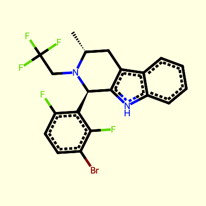 C[C@@H]1Cc2c([nH]c3ccccc23)[C@@H](c2c(F)ccc(Br)c2F)N1CC(F)(F)F